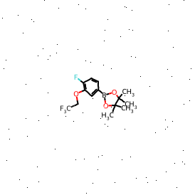 CC1(C)OB(c2ccc(F)c(OCC(F)(F)F)c2)OC1(C)C